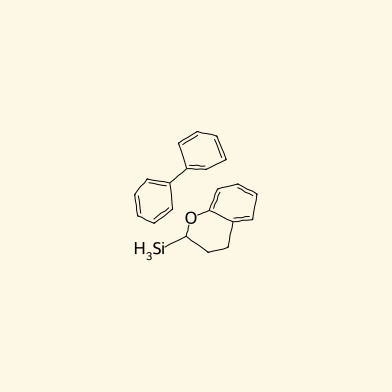 [SiH3]C1CCc2ccccc2O1.c1ccc(-c2ccccc2)cc1